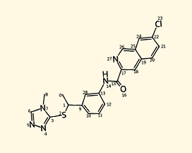 CC(Sc1nncn1C)c1cccc(NC(=O)c2cc3ccc(Cl)cc3cn2)c1